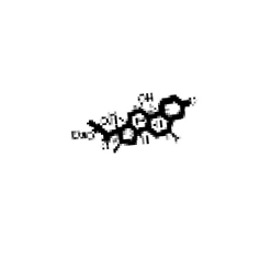 CCOC(C)(O)C(=O)[C@@]1(O)[C@H](C)C[C@H]2[C@@H]3C[C@H](F)C4=CC(=O)C=C[C@]4(C)[C@@]3(F)[C@@H](O)C[C@@]21C